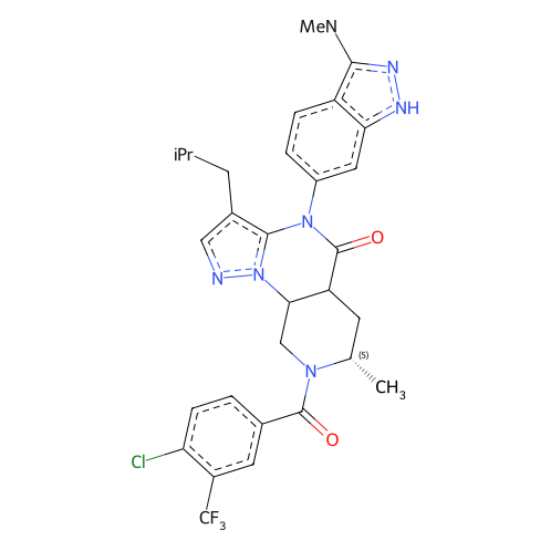 CNc1n[nH]c2cc(N3C(=O)C4C[C@H](C)N(C(=O)c5ccc(Cl)c(C(F)(F)F)c5)CC4n4ncc(CC(C)C)c43)ccc12